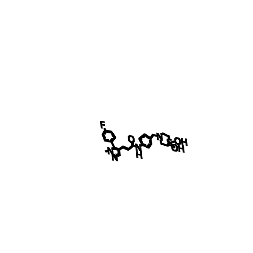 Cn1ncc(/C=C/C(=O)Nc2ccc(CN3CCS(O)(O)CC3)cc2)c1-c1ccc(F)cc1